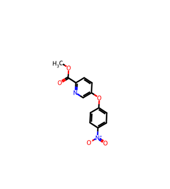 COC(=O)c1ccc(Oc2ccc([N+](=O)[O-])cc2)cn1